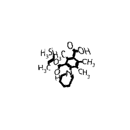 CC=C[SiH3].Cc1c(C)c(N2CCCCC2)c(C(=O)O)c(C)c1C(=O)O